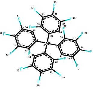 Fc1c[c]([Al-]([c]2cc(F)c(F)c(F)c2F)([c]2cc(F)c(F)c(F)c2F)[c]2cc(F)c(F)c(F)c2F)c(F)c(F)c1F